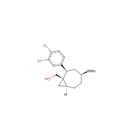 CN[C@H]1CC[C@H]2C[C@]2(CO)[C@@H](c2ccc(Cl)c(Cl)c2)C1